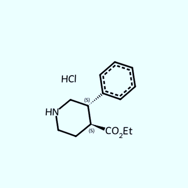 CCOC(=O)[C@H]1CCNC[C@@H]1c1ccccc1.Cl